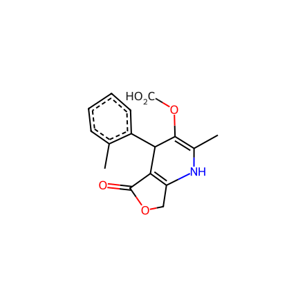 CC1=C(OC(=O)O)C(c2ccccc2C)C2=C(COC2=O)N1